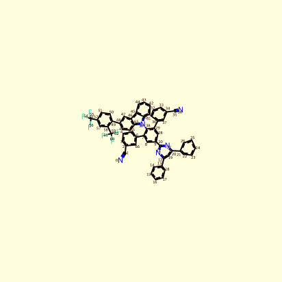 N#Cc1cccc(-c2cc(-c3nc(-c4ccccc4)cc(-c4ccccc4)n3)cc(-c3cccc(C#N)c3)c2-n2c3ccccc3c3cc(-c4ccc(C(F)(F)F)cc4C(F)(F)F)ccc32)c1